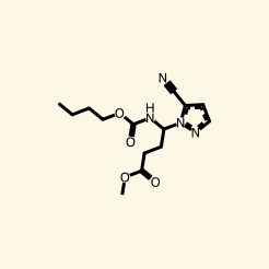 CCCCOC(=O)NC(CCC(=O)OC)n1nccc1C#N